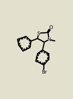 CN1C(=O)SC(c2ccccc2)C1c1ccc(Br)cc1